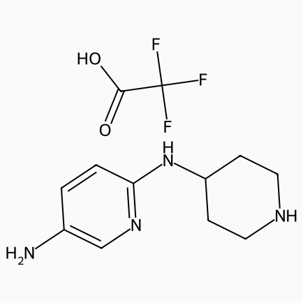 Nc1ccc(NC2CCNCC2)nc1.O=C(O)C(F)(F)F